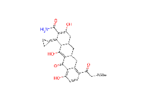 CNCC(=O)c1ccc(O)c2c1CC1CC3CC(O)=C(C(N)=O)C(=C4CC4)C3C(O)=C1C2=O